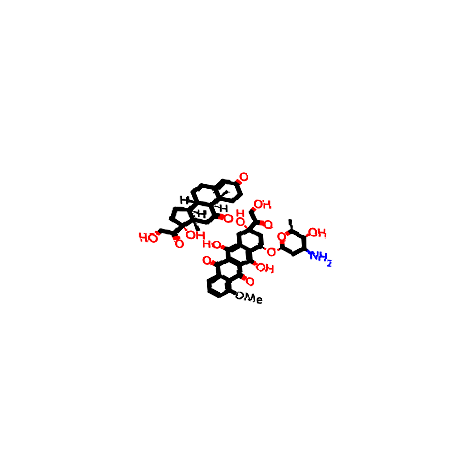 COc1cccc2c1C(=O)c1c(O)c3c(c(O)c1C2=O)C[C@@](O)(C(=O)CO)C[C@@H]3O[C@H]1C[C@H](N)[C@@H](O)[C@H](C)O1.C[C@]12CCC(=O)C=C1CC[C@@H]1[C@@H]2C(=O)C[C@@]2(C)[C@H]1CC[C@]2(O)C(=O)CO